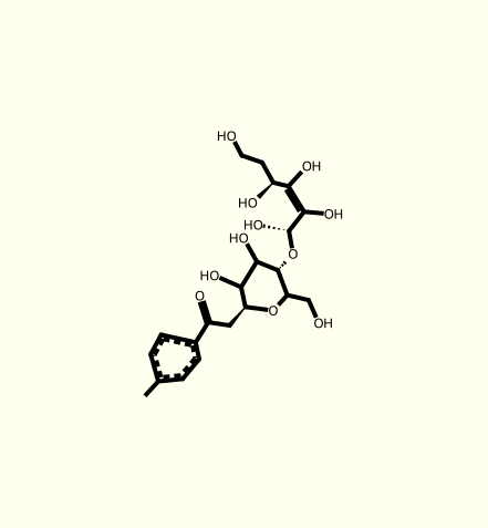 Cc1ccc(C(=O)C[C@@H]2OC(CO)[C@@H](O[C@H](O)/C(O)=C(/O)[C@@H](O)CCO)C(O)C2O)cc1